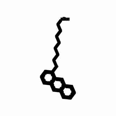 CCCCCCCCCCCCCCCCC[CH]c1cccc2cc3ccccc3cc12